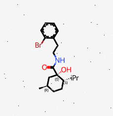 CC(C)[C@@H]1CC[C@@H](C)C[C@@]1(O)C(=O)NCCc1ccccc1Br